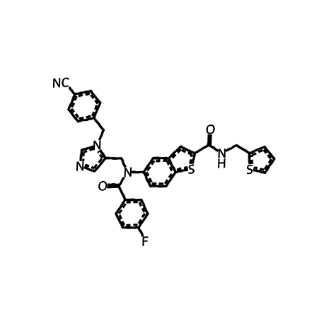 N#Cc1ccc(Cn2cncc2CN(C(=O)c2ccc(F)cc2)c2ccc3sc(C(=O)NCc4cccs4)cc3c2)cc1